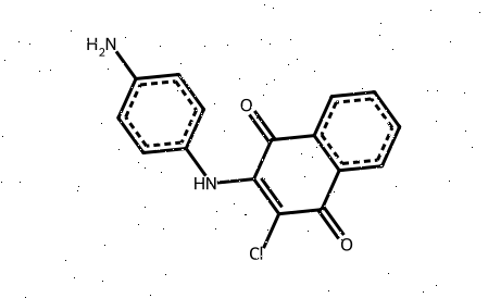 Nc1ccc(NC2=C(Cl)C(=O)c3ccccc3C2=O)cc1